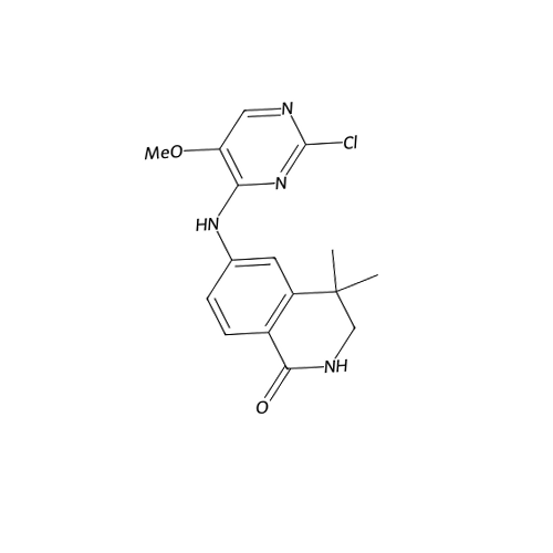 COc1cnc(Cl)nc1Nc1ccc2c(c1)C(C)(C)CNC2=O